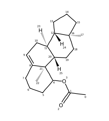 CC(=O)OC1CCCC2=CC[C@H]3[C@@H]4CCC[C@@]4(C)CC[C@@H]3[C@]21C